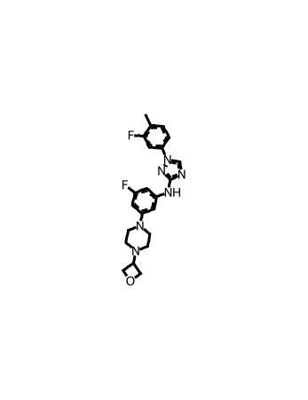 Cc1ccc(-n2cnc(Nc3cc(F)cc(N4CCN(C5COC5)CC4)c3)n2)cc1F